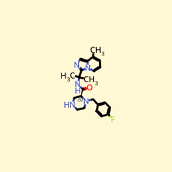 Cc1cccn2c(C(C)(C)NC(=O)[C@@H]3CNCCN3Cc3ccc(F)cc3)ncc12